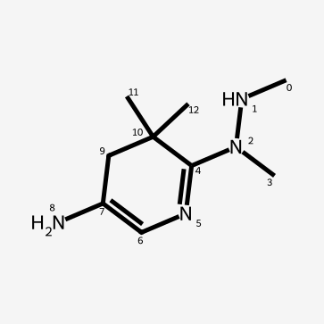 CNN(C)C1=NC=C(N)CC1(C)C